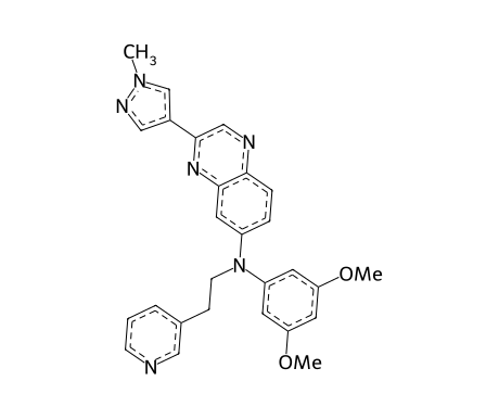 COc1cc(OC)cc(N(CCc2cccnc2)c2ccc3ncc(-c4cnn(C)c4)nc3c2)c1